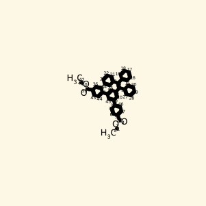 CCOC(=O)c1ccc(-c2cc(C(=C(c3ccccc3)c3ccccc3)c3ccccc3)cc(-c3ccc(C(=O)OCC)cc3)c2)cc1